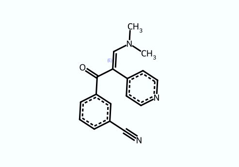 CN(C)/C=C(/C(=O)c1cccc(C#N)c1)c1ccncc1